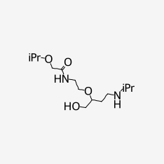 CC(C)NCCC(CO)OCCNC(=O)COC(C)C